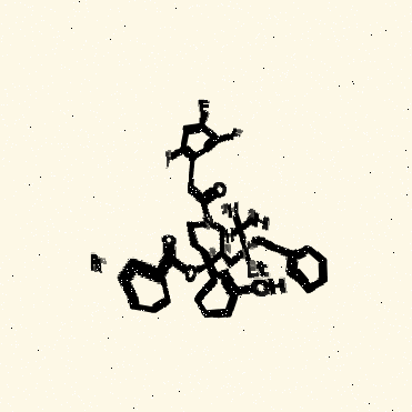 [2H]C([2H])([2H])[N+](CC)(Cc1ccccc1)C[C@@H]1CN(C(=O)Cc2cc(F)c(F)cc2F)CC[C@@]1(OC(=O)c1ccccc1)c1cccc(O)c1.[Br-]